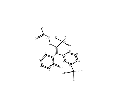 CC(=O)NCC1=C(n2ccccc2=O)c2cc(C(F)(F)F)ccc2OC1(C)C